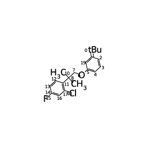 CC(C)(C)c1cccc(OCC(C)(C)c2ccc(F)cc2Cl)c1